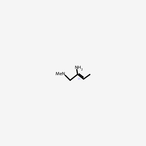 C/C=C(\N)CNC